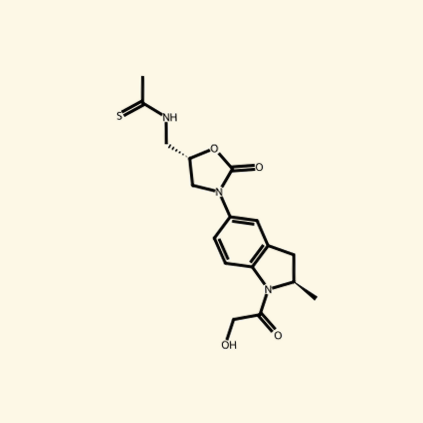 CC(=S)NC[C@H]1CN(c2ccc3c(c2)C[C@@H](C)N3C(=O)CO)C(=O)O1